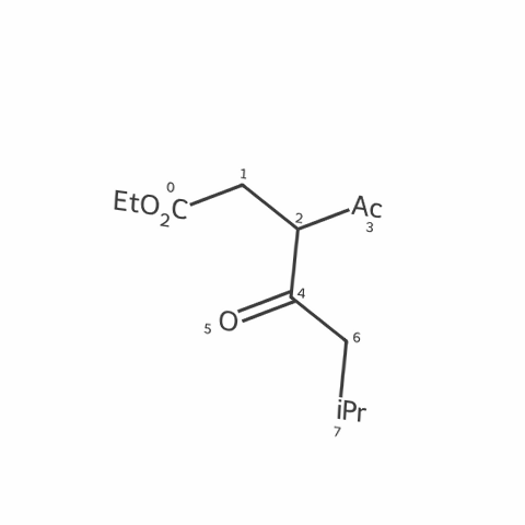 CCOC(=O)CC(C(C)=O)C(=O)CC(C)C